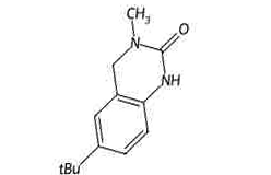 CN1Cc2cc(C(C)(C)C)ccc2NC1=O